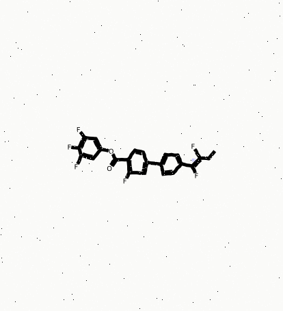 CC/C(F)=C(\F)c1ccc(-c2ccc(C(=O)Oc3cc(F)c(F)c(F)c3)c(F)c2)cc1